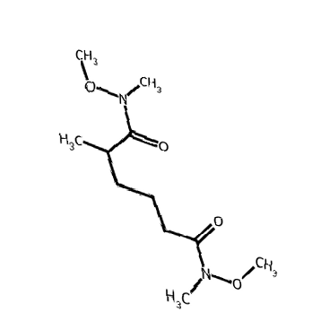 CON(C)C(=O)CCCC(C)C(=O)N(C)OC